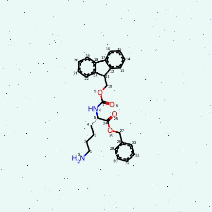 NCCCC[C@H](NC(=O)OCC1c2ccccc2-c2ccccc21)C(=O)OCc1ccccc1